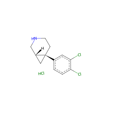 Cl.Clc1ccc([C@]23CCNC[C@H]2C3)cc1Cl